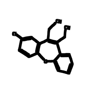 N#CCC1=C(CC#N)c2cc(Cl)ccc2Oc2ccccc21